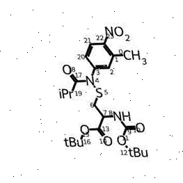 Cc1cc(N(SCC(NC(=O)OC(C)(C)C)C(=O)OC(C)(C)C)C(=O)C(C)C)ccc1[N+](=O)[O-]